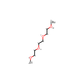 [CH2]COCCOCCOCCOCCCC